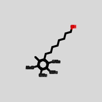 COc1c(C)c(CCCCCCCCO)c(OC)c(OC)c1OC